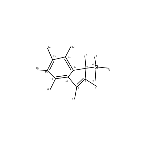 CC1=C(C)C(C)([Si](C)(C)C)c2c(C)c(C)c(C)c(C)c21